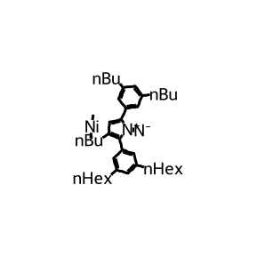 CCCCCCc1cc(CCCCCC)cc(C2=C(CCCC)C=C(c3cc(CCCC)cc(CCCC)c3)[N+]2=[N-])c1.[CH3][Ni][CH3]